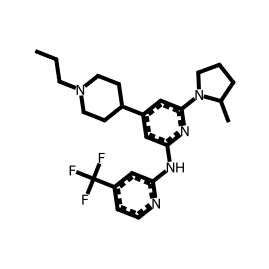 CCCN1CCC(c2cc(Nc3cc(C(F)(F)F)ccn3)nc(N3CCCC3C)c2)CC1